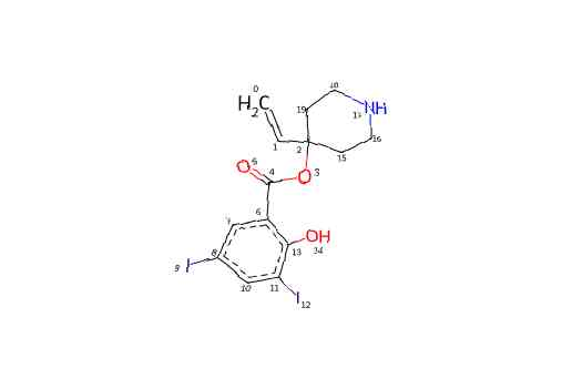 C=CC1(OC(=O)c2cc(I)cc(I)c2O)CCNCC1